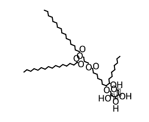 CCCCCCCCCCCCCCCC(=O)OCC(COC(=O)CCCCCC(OC1O[C@H](C)[C@@H](O)[C@H](O)[C@H]1O)C(O)CCCCCCCC)OC(=O)CCCCCCCCCCCCCCC